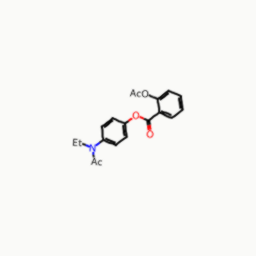 CCN(C(C)=O)c1ccc(OC(=O)c2ccccc2OC(C)=O)cc1